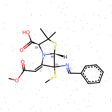 COC(=O)/C=C1\N2[C@@H](C(=O)O)C(C)(C)S[C@@H]2[C@@]1(/N=C/c1ccccc1)SC